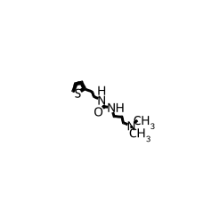 CN(C)CCCNC(=O)NCCc1cccs1